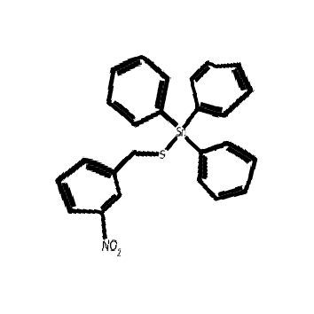 O=[N+]([O-])c1cccc(C[S][Sn]([c]2ccccc2)([c]2ccccc2)[c]2ccccc2)c1